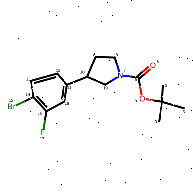 CC(C)(C)OC(=O)N1CCC(c2ccc(Br)c(F)c2)C1